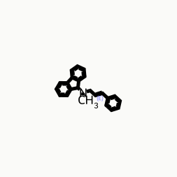 CN(C/C=C/c1ccccc1)C1c2ccccc2-c2ccccc21